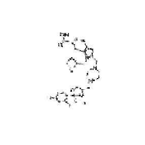 CC1(c2ccc(Cl)cc2F)OCC(CN2CCN(Cc3nc4ccc(C(=O)O)cc4n3C[C@@H]3CCO3)CC2)O1